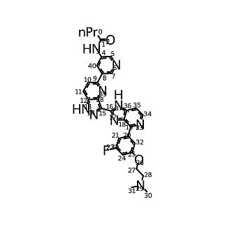 CCCC(=O)Nc1cncc(-c2ccc3[nH]nc(-c4nc5c(-c6cc(F)cc(OCCN(C)C)c6)nccc5[nH]4)c3n2)c1